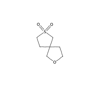 O=S1(=O)CCC2(CCOC2)C1